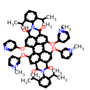 CC(C)c1cccc(C(C)C)c1N1C(=O)c2cc(Oc3cccnc3)c3c4c(Oc5ccc[n+](C)c5)cc5c6c(cc(Oc7ccc[n+](C)c7)c(c7c(Oc8ccc[n+](C)c8)cc(c2c37)C1=O)c64)C(=O)N(c1c(C(C)C)cccc1C(C)C)C5=O